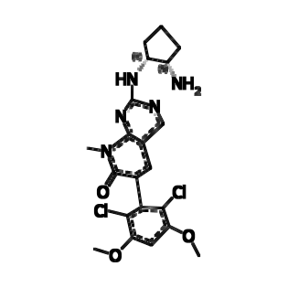 COc1cc(OC)c(Cl)c(-c2cc3cnc(N[C@@H]4CCC[C@@H]4N)nc3n(C)c2=O)c1Cl